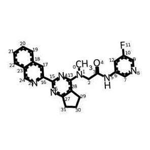 CN(CC(=O)Nc1cncc(F)c1)c1nc(-c2cc3ccccc3cn2)nc2c1CCC2